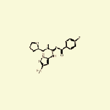 O=C(/N=C(/NCC1CCCO1)Nc1cc(C(F)(F)F)n[nH]1)c1ccc(F)cc1